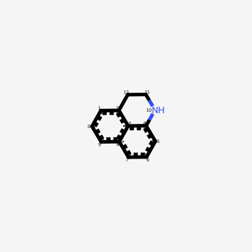 c1cc2c3c(cccc3c1)NCC2